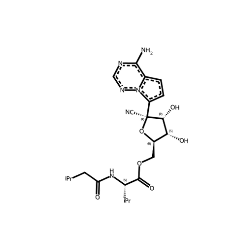 CC(C)CC(=O)N[C@H](C(=O)OC[C@H]1O[C@@](C#N)(c2ccc3c(N)ncnn23)[C@H](O)[C@@H]1O)C(C)C